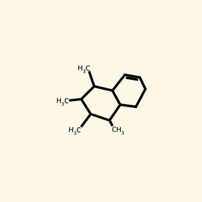 CC1C(C)C(C)C2CCC=CC2C1C